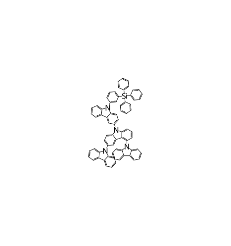 c1ccc([Si](c2ccccc2)(c2ccccc2)c2cccc(-n3c4ccccc4c4cc(-n5c6ccc(-n7c8ccccc8c8ccccc87)cc6c6c(-n7c8ccccc8c8ccccc87)cccc65)ccc43)c2)cc1